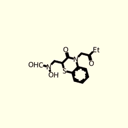 CCC(=O)CN1C(=O)C(CN(O)C=O)Sc2ccccc21